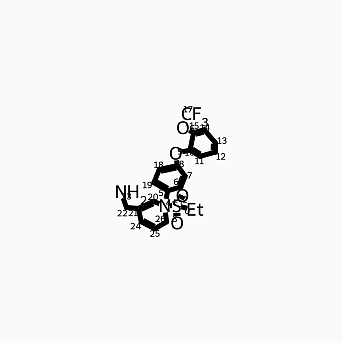 CCS(=O)(=O)[N+]1(c2ccc(Oc3ccccc3OC(F)(F)F)cc2)C=C(CN)C=CC1